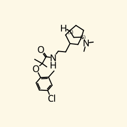 Cc1cc(Cl)ccc1OC(C)(C)C(=O)NCCC1C[C@@H]2CC[C@@](N(C)C)(C1)C2